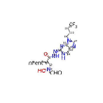 CCCCC[C@H](CN(O)C=O)C(=O)N/N=c1/nc2c(c[nH]1)ncn2CCCC(F)(F)F